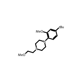 COCCN1CCN(c2ccc(C(C)(C)C)cc2OC)CC1